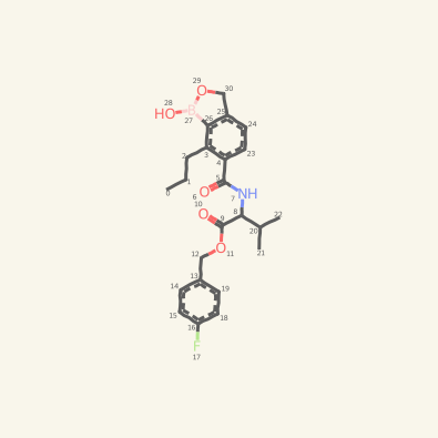 CCCc1c(C(=O)NC(C(=O)OCc2ccc(F)cc2)C(C)C)ccc2c1B(O)OC2